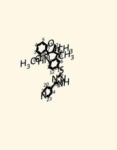 COc1cccc2c1[C@H]1Nc3ccc(Sc4n[nH]c(-c5ccncc5)n4)cc3C(C)(C)[C@H]1CO2